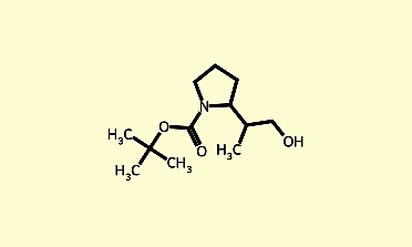 CC(CO)C1CCCN1C(=O)OC(C)(C)C